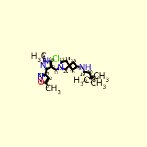 Cc1cc(-c2nn(C)c(Cl)c2CN2CCC3(CC(NCCC(C)(C)C)C3)C2)no1